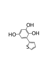 Oc1cc(O)c(O)c(-c2cccs2)c1